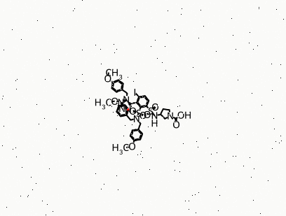 COc1ccc(CN(Cc2ccc(OC)cc2)S(=O)(=O)c2c(S(=O)(=O)NC3CCN(C(=O)O)C3)ccc(I)c2-c2nnnn2Cc2ccc(OC)cc2)cc1